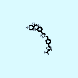 O=C1Nc2ccc(-c3cn(Cc4ccc(-c5nnc(C(F)F)o5)cc4)nn3)cc2NC12CCNCC2